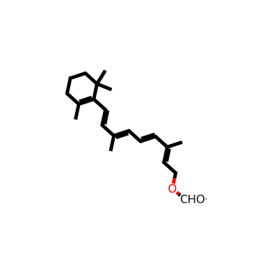 CC(C=CC1=C(C)CCCC1(C)C)=CC=CC(C)=CCO[C]=O